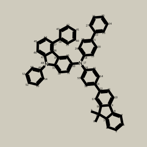 CC1(C)c2ccccc2-c2ccc(-c3ccc(N(c4ccc(-c5ccccc5)cc4)c4ccc5c(c4)c4c(-c6ccccc6)cccc4n5-c4ccccc4)cc3)cc21